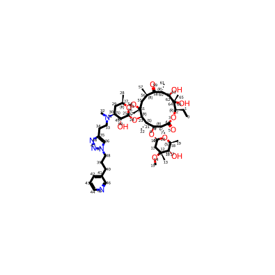 CC[C@H]1OC(=O)[C@H](C)[C@@H](O[C@H]2C[C@@](C)(OC)[C@@H](O)[C@H](C)O2)[C@H](C)[C@@H](O[C@@H]2O[C@H](C)C[C@H](N(C)CCc3cn(CCCc4cccnc4)nn3)[C@H]2O)[C@](C)(OC)C[C@@H](C)C(=O)[C@H](C)[C@@H](O)[C@]1(C)O